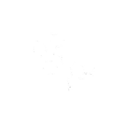 C[SiH](C)OC(C(COC(c1ccccc1)(c1ccccc1)c1ccccc1)Oc1ccon1)C(C)(C)C